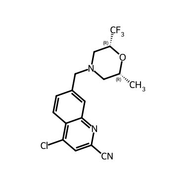 C[C@@H]1CN(Cc2ccc3c(Cl)cc(C#N)nc3c2)C[C@H](C(F)(F)F)O1